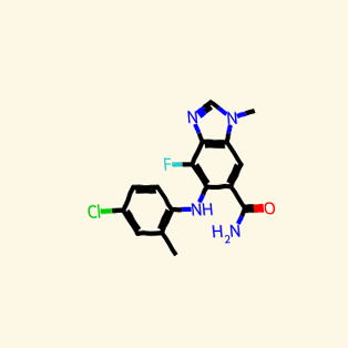 Cc1cc(Cl)ccc1Nc1c(C(N)=O)cc2c(ncn2C)c1F